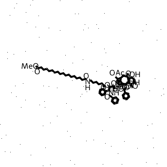 COC(=O)CCCCCCCCCCCCCCCCC(=O)NCCCCCC(=O)O[C@@H](C(=O)O[C@H]1C[C@@]2(O)[C@@H](OC(O)c3ccccc3)[C@@H]3[C@]4(OC(C)=O)CO[C@@H]4C[C@H](O)[C@@]3(C)C(=O)[C@H](OC(C)=O)C(=C1C)C2(C)C)[C@@H](NC(=O)c1ccccc1)c1ccccc1